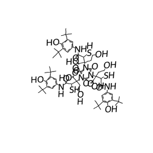 CC(C)(C)c1cc(NC(=O)C(S)C(CCO)(C(=O)O)n2c(=O)n(C(CCO)(C(=O)O)C(S)C(=O)Nc3cc(C(C)(C)C)c(O)c(C(C)(C)C)c3)c(=O)n(C(CCO)(C(=O)O)C(S)C(=O)Nc3cc(C(C)(C)C)c(O)c(C(C)(C)C)c3)c2=O)cc(C(C)(C)C)c1O